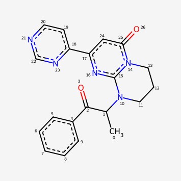 CC(C(=O)c1ccccc1)N1CCCn2c1nc(-c1ccncn1)cc2=O